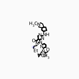 CC/C=C\Cn1c(=O)c2cnc(Nc3ccc4c(c3)CN(C)CC4)nc2n1-c1ccc2c(n1)N(CC1(C)CC1)C(=O)CO2